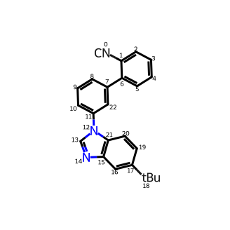 [C-]#[N+]c1ccccc1-c1cccc(-n2cnc3cc(C(C)(C)C)ccc32)c1